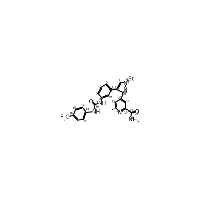 CCn1cc(-c2cccc(NC(=O)Nc3ccc(C(F)(F)F)cc3)c2)c(-c2ccnc(C(N)=O)c2)n1